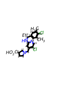 CC[C@@H](Nc1cc(CN2CC[C@@H](C(=O)O)C2)c(Cl)cn1)c1cc(C)c(Cl)c(C)c1